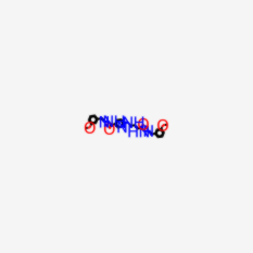 COc1cccc(C=NNC(=O)CCCNc2ccc(C(=O)NN=Cc3cccc(OC)c3)cn2)c1